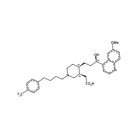 COc1ccc2nccc([C@H](O)CC[C@@H]3CCN(CCCCc4ccc(C(F)(F)F)cc4)C[C@@H]3CC(=O)O)c2c1